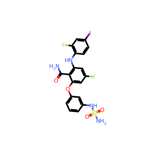 NC(=O)c1c(Nc2ccc(I)cc2F)cc(F)cc1Oc1cccc(NS(N)(=O)=O)c1